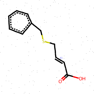 O=C(O)/C=C/CSCc1ccccc1